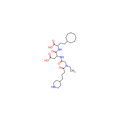 CCN(CC(=O)NC(CC(=O)O)C(=O)NC(CCC1CCCCCCC1)C(=O)O)C(=O)CCCC1CCNCC1